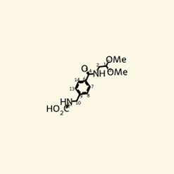 COC(CNC(=O)c1ccc(CNC(=O)O)cc1)OC